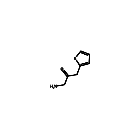 NCC(=O)Cc1cccs1